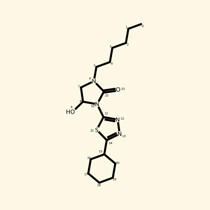 CCCCCCN1CC(O)N(c2nnc(C3CCCCC3)s2)C1=O